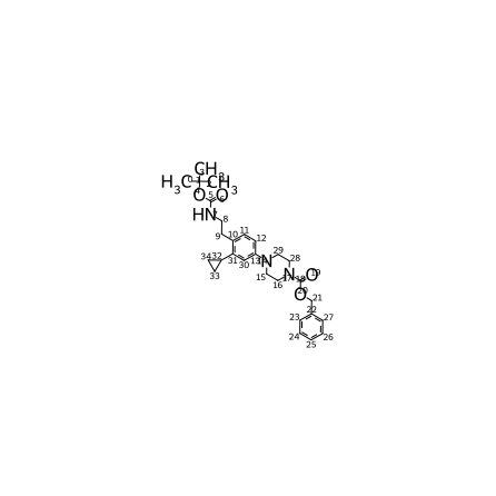 CC(C)(C)OC(=O)NCCc1ccc(N2CCN(C(=O)OCc3ccccc3)CC2)cc1C1CC1